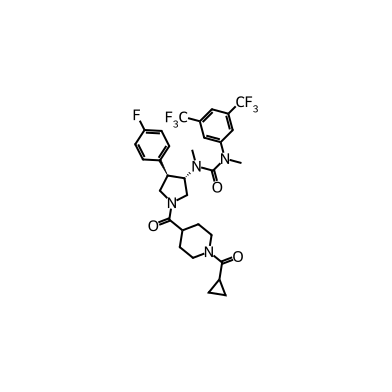 CN(C(=O)N(C)[C@@H]1CN(C(=O)C2CCN(C(=O)C3CC3)CC2)C[C@H]1c1ccc(F)cc1)c1cc(C(F)(F)F)cc(C(F)(F)F)c1